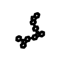 c1ccc(-n2c3ccccc3c3cc(-c4ccc5c6ccccc6n(-c6ccc(-c7ccc8sc9ccccc9c8c7)cc6)c5c4)ccc32)cc1